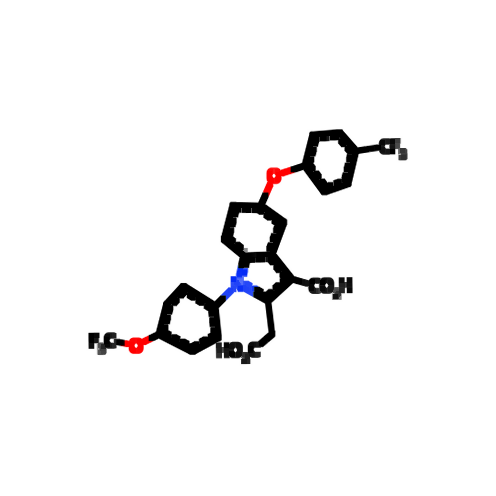 O=C(O)Cc1c(C(=O)O)c2cc(Oc3ccc(C(F)(F)F)cc3)ccc2n1-c1ccc(OC(F)(F)F)cc1